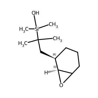 CC(C)(C[C@H]1CCCC2O[C@H]21)[Si](C)(C)O